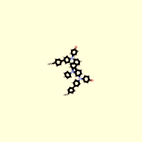 CCCc1ccc(-c2ccc(N(c3ccc(Br)cc3)c3ccc4c5c6cccc(N(c7ccc(Br)cc7)c7ccc(-c8ccc(CCC)cc8)cc7)c6ccc5n(-c5ccccc5)c4c3)cc2)cc1